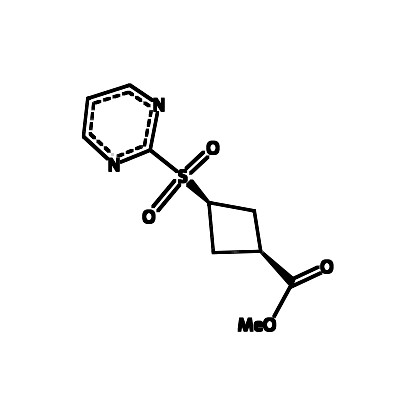 COC(=O)[C@H]1C[C@@H](S(=O)(=O)c2ncccn2)C1